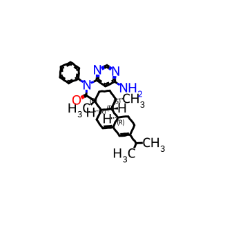 CC(C)C1=CC2=CC[C@@H]3[C@H]([C@@H](C)CC[C@@]3(C)C(=O)N(c3ccccc3)c3cc(N)ncn3)[C@H]2CC1